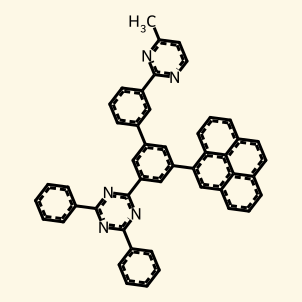 Cc1ccnc(-c2cccc(-c3cc(-c4nc(-c5ccccc5)nc(-c5ccccc5)n4)cc(-c4cc5cccc6ccc7cccc4c7c65)c3)c2)n1